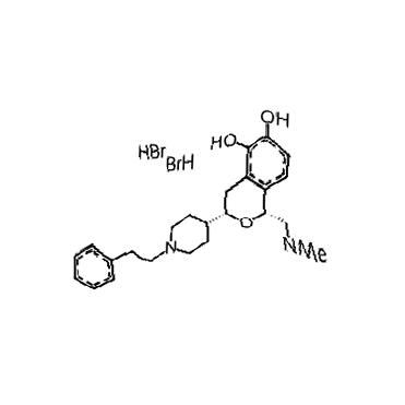 Br.Br.CNC[C@@H]1O[C@H](C2CCN(CCc3ccccc3)CC2)Cc2c1ccc(O)c2O